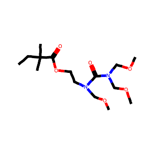 CCC(C)(C)C(=O)OCCN(COC)C(=O)N(COC)COC